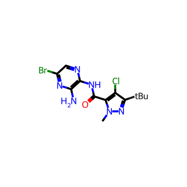 Cn1nc(C(C)(C)C)c(Cl)c1C(=O)Nc1ncc(Br)nc1N